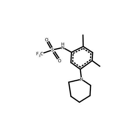 Cc1cc(C)c(N2CCCCC2)cc1NS(=O)(=O)C(F)(F)F